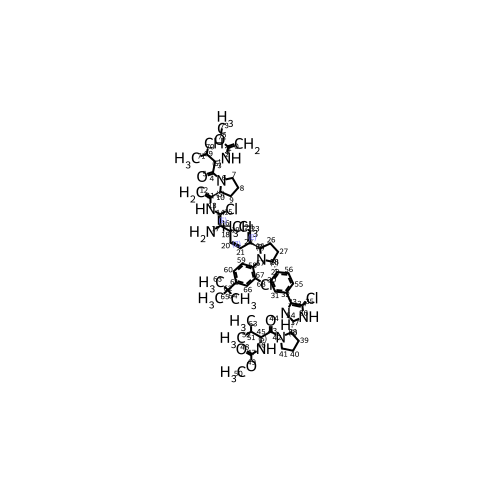 C=C(N[C@H](C(=O)N1CCC[C@H]1C(=C)N/C(Cl)=C(\N)C(C)/C=C\C(=C/C)[C@H]1CC[C@H](c2ccc(C3=C(Cl)NC([C@@H]4CCCN4C(=O)[C@@H](NC(=O)OC)C(C)C)N3)cc2)N1c1ccc(C(C)(C)C)cc1Cl)C(C)C)OC